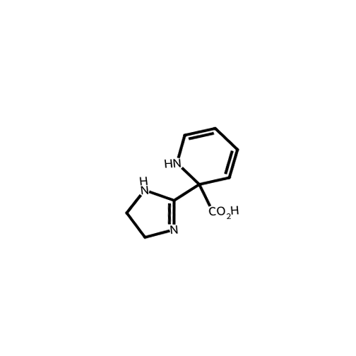 O=C(O)C1(C2=NCCN2)C=CC=CN1